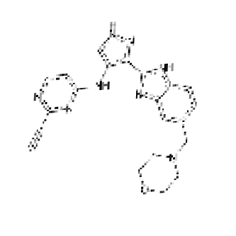 C#Cc1nccc(Nc2c[nH]nc2-c2nc3cc(CN4CCOCC4)ccc3[nH]2)n1